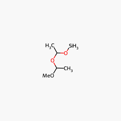 COC(C)OC(C)O[SiH3]